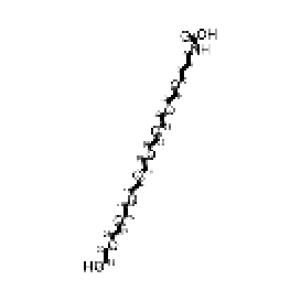 O=C(O)NCCCCOCCOCCOCCOCCOCCOCCOCCOCCO